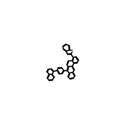 c1ccc2sc(-c3cccc4c3ccc3c(-c5ccc(-c6cccc7ccccc67)cc5)c5ccccc5cc34)cc2c1